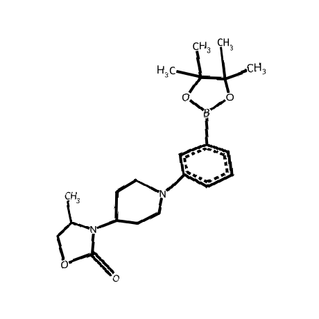 CC1COC(=O)N1C1CCN(c2cccc(B3OC(C)(C)C(C)(C)O3)c2)CC1